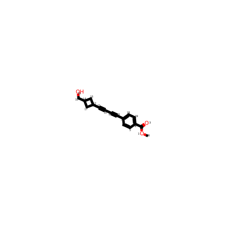 COC(=O)c1ccc(C#CC#CC2CC(CO)C2)cc1